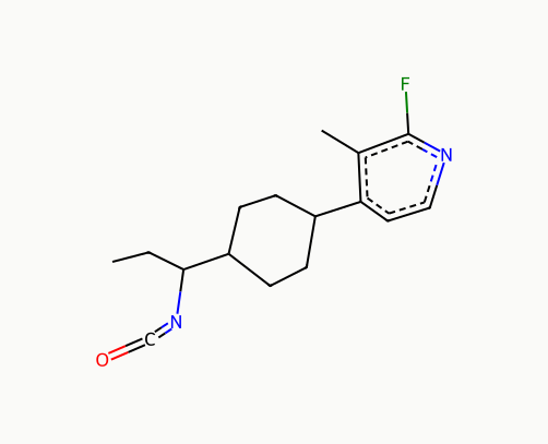 CCC(N=C=O)C1CCC(c2ccnc(F)c2C)CC1